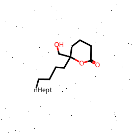 CCCCCCCCCCCC1(CO)CCCC(=O)O1